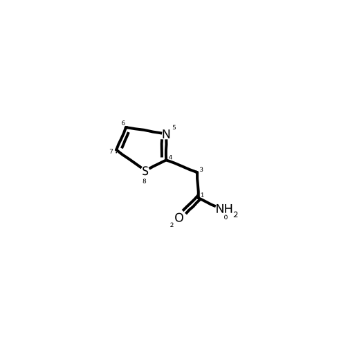 NC(=O)Cc1nc[c]s1